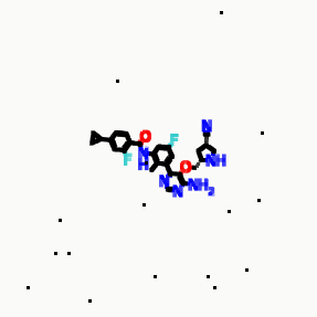 Cc1c(NC(=O)c2ccc(C3CC3)cc2F)cc(F)cc1-c1ncnc(N)c1OC[C@@H]1C[C@@H](C#N)CN1